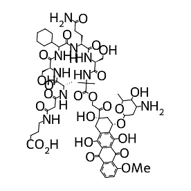 COc1cccc2c1C(=O)c1c(O)c3c(c(O)c1C2=O)C[C@@](O)(C(=O)COC(=O)C(C)(C)NC(=O)[C@H](CO)NC(=O)[C@H](CCC(N)=O)NC(=O)C(NC(=O)[C@H](CO)NC(=O)[C@H](C)NC(=O)CC(=O)NCCCC(=O)O)C1CCCCC1)C[C@@H]3OC1CC(N)C(O)C(C)O1